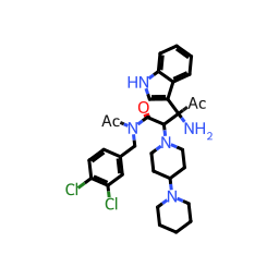 CC(=O)N(Cc1ccc(Cl)c(Cl)c1)C(=O)C(N1CCC(N2CCCCC2)CC1)C(N)(C(C)=O)c1c[nH]c2ccccc12